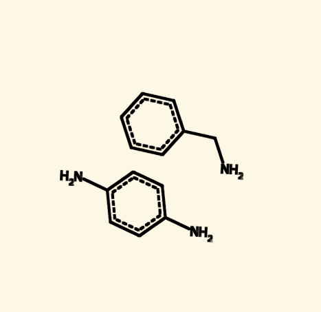 NCc1ccccc1.Nc1ccc(N)cc1